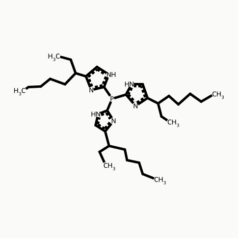 CCCCCC(CC)c1c[nH]c(P(c2nc(C(CC)CCCCC)c[nH]2)c2nc(C(CC)CCCCC)c[nH]2)n1